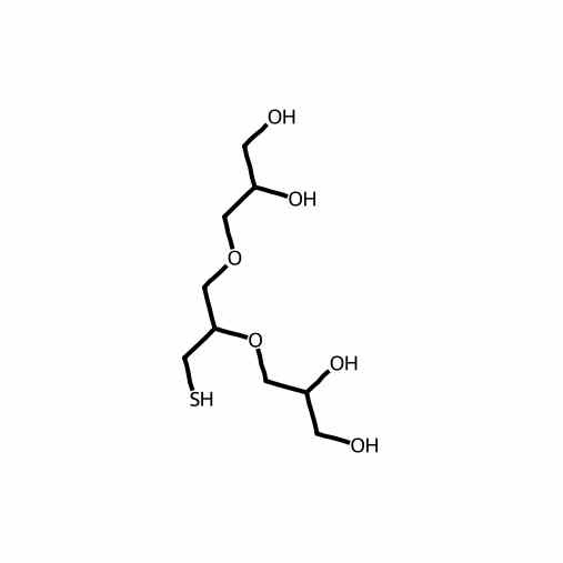 OCC(O)COCC(CS)OCC(O)CO